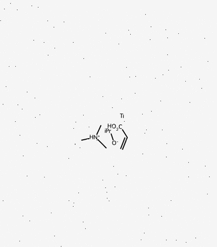 C=CC(=O)O.CC(C)[O-].C[NH+](C)C.[Ti]